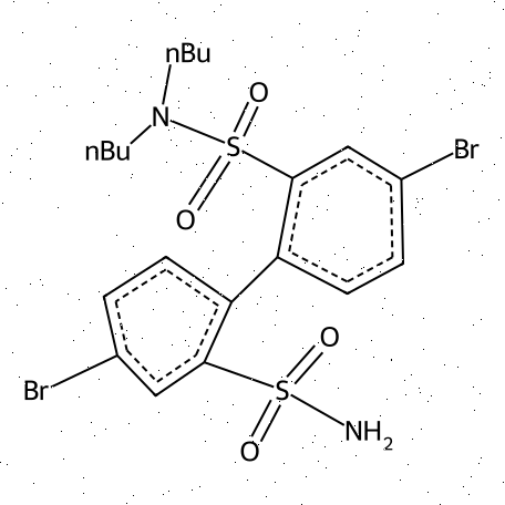 CCCCN(CCCC)S(=O)(=O)c1cc(Br)ccc1-c1ccc(Br)cc1S(N)(=O)=O